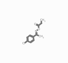 CCC(=O)ON=C(C)c1ccc(Cl)cc1